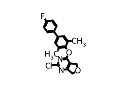 Cc1cc(-c2ccc(F)cc2)cc(C)c1Oc1nc(Cl)nc2c1COC2